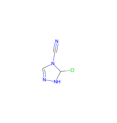 N#CN1C=NNC1Cl